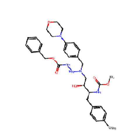 COc1ccc(C[C@H](NC(=O)OC(C)(C)C)[C@@H](O)CN(Cc2ccc(N3CCOCC3)cc2)NNC(=O)OCc2ccccc2)cc1